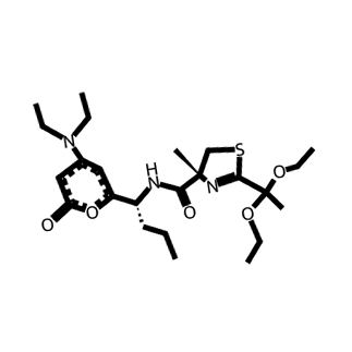 CCC[C@@H](NC(=O)[C@]1(C)CSC(C(C)(OCC)OCC)=N1)c1cc(N(CC)CC)cc(=O)o1